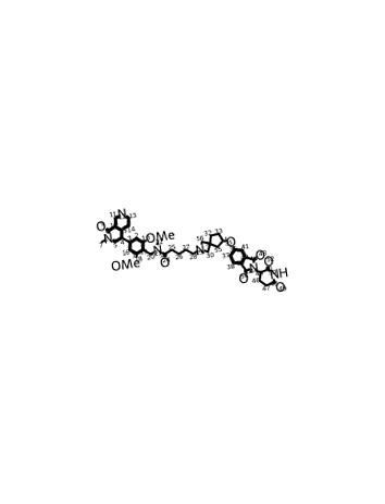 COc1cc(-c2cn(C)c(=O)c3cnccc23)cc(OC)c1CN(C)C(=O)CCCCN1CC2(CCC(Oc3ccc4c(c3)C(=O)N(C3CCC(=O)NC3=O)C4=O)C2)C1